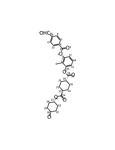 Cc1c(OC(=O)c2ccc([C]=O)cc2)cccc1OC(=O)[C@H]1CC[C@H](C(=O)O[C@H]2CC[C@H]([O])CC2)CC1